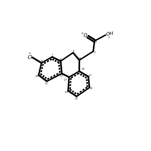 O=C(O)CC1Cc2cc(Cl)ccc2-c2ccccc21